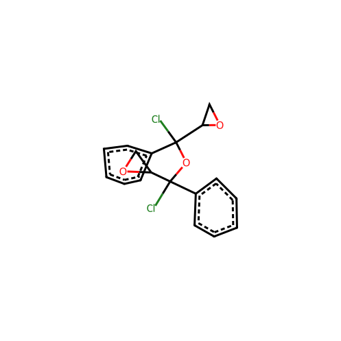 ClC(OC(Cl)(c1ccccc1)C1CO1)(c1ccccc1)C1CO1